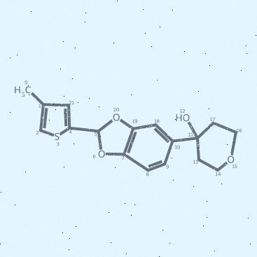 Cc1csc(C2Oc3ccc(C4(O)CCOCC4)cc3O2)c1